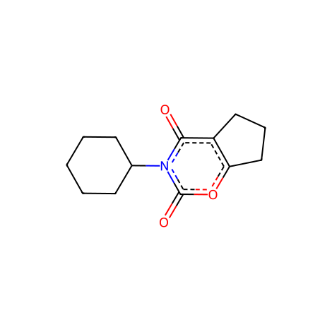 O=c1oc2c(c(=O)n1C1CCCCC1)CCC2